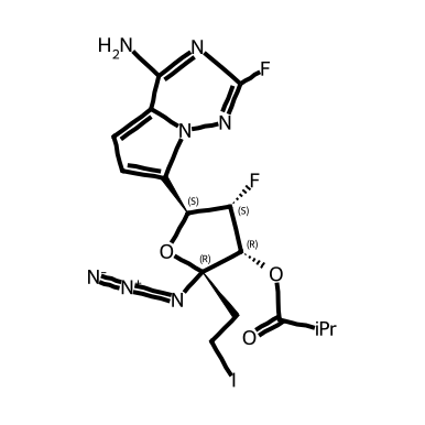 CC(C)C(=O)O[C@H]1[C@@H](F)[C@H](c2ccc3c(N)nc(F)nn23)O[C@@]1(CCI)N=[N+]=[N-]